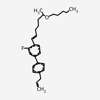 C=CCc1ccc(-c2ccc(C=CCCCC(C)OCCCCC)c(F)c2)cc1